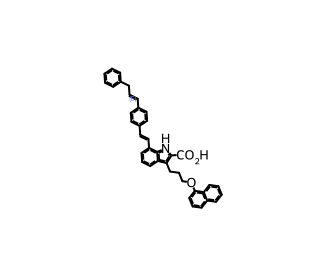 O=C(O)c1[nH]c2c(C=Cc3ccc(/C=C/Cc4ccccc4)cc3)cccc2c1CCCOc1cccc2ccccc12